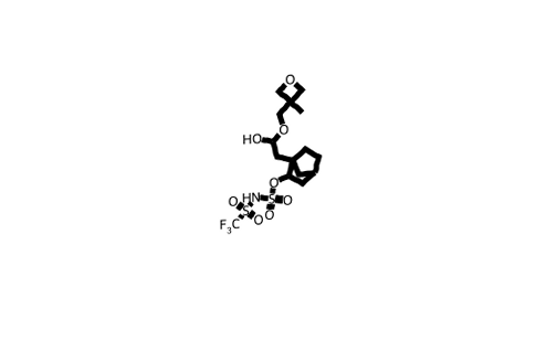 CC1(COC(O)CC23CCC(CC2OS(=O)(=O)NS(=O)(=O)C(F)(F)F)C3)COC1